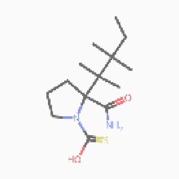 CCC(C)(C)C(C)(C)C1(C(N)=O)CCCN1C(O)=S